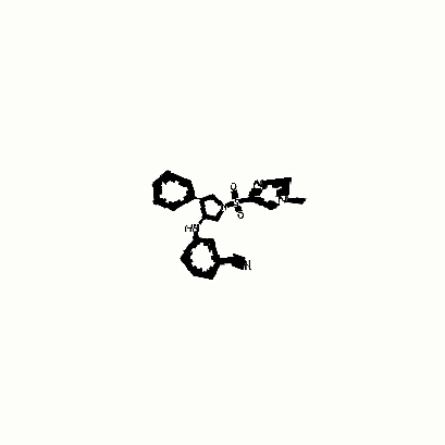 Cn1cnc(S(=O)(=O)N2C[C@@H](Nc3cccc(C#N)c3)[C@H](c3ccccc3)C2)c1